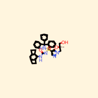 C[C@]1(CO)Cn2ncc([S@](=O)(=NC(=O)Nc3c4c(cc5c3CC5)CC4)NC(c3ccccc3)(c3ccccc3)c3ccccc3)c2O1